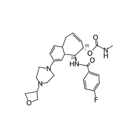 CNC(=O)O[C@H]1C=CCC2C=CC(N3CCN(C4COC4)CC3)=CC2[C@@H]1NC(=O)c1ccc(F)cc1